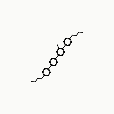 CCCCc1ccc(-c2ccc(-c3ccc(-c4ccc(CCCC)cc4)c(C)c3)cc2)cc1